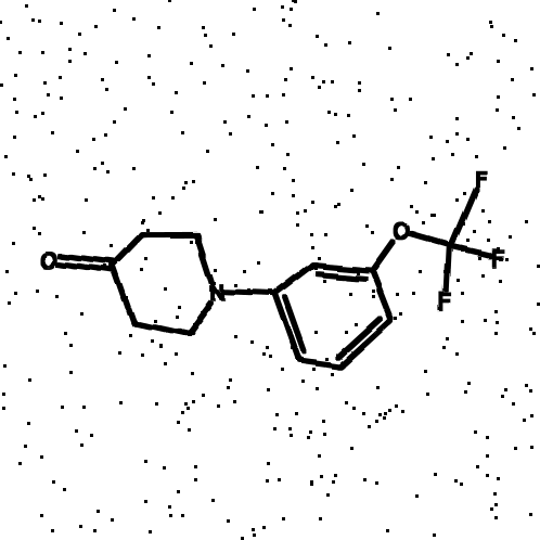 O=C1CCN(c2cccc(OC(F)(F)F)c2)CC1